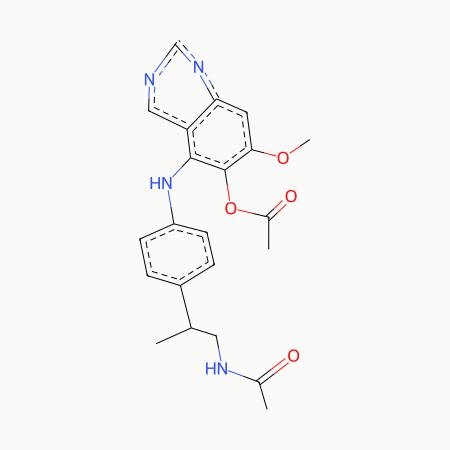 COc1cc2ncncc2c(Nc2ccc(C(C)CNC(C)=O)cc2)c1OC(C)=O